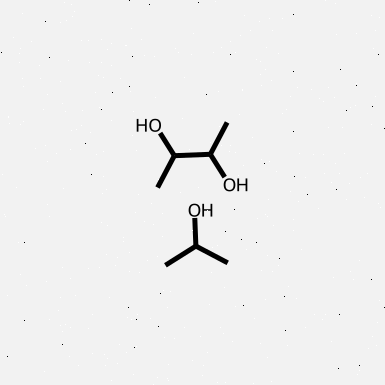 CC(C)O.CC(O)C(C)O